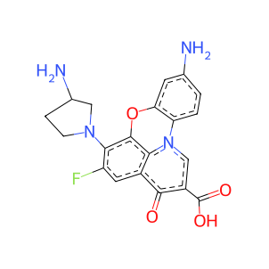 Nc1ccc2c(c1)Oc1c(N3CCC(N)C3)c(F)cc3c(=O)c(C(=O)O)cn-2c13